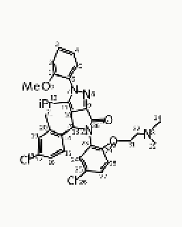 COc1ccccc1-n1nc2c(c1C(C)C)[C@H](c1ccc(Cl)cc1C)N(c1cc(Cl)ccc1OCCN(C)C)C2=O